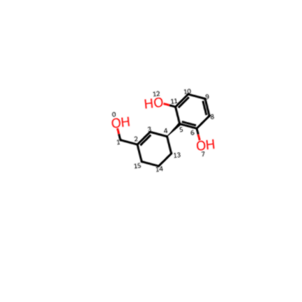 OCC1=C[C@@H](c2c(O)cccc2O)CCC1